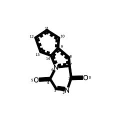 O=C1N=CC(=O)n2c1cc1ccccc12